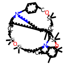 Cc1c2ccc3c1c1cc4ccc1n3-c1ccc(cc1)CO[Si](C)(C)c1ccc(cc1)-n1c3ccc(cc3c3c(C)c(ccc31)[Si](C)(C)O[Si]2(C)C)[Si](C)(C)O[Si]4(C)C